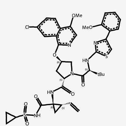 C=C[C@@H]1C[C@]1(NC(=O)[C@@H]1C[C@@H](Oc2ncc(OC)c3ccc(Cl)cc23)CN1C(=O)[C@@H](Nc1nc(-c2ccccc2OC)cs1)C(C)(C)C)C(=O)NS(=O)(=O)C1CC1